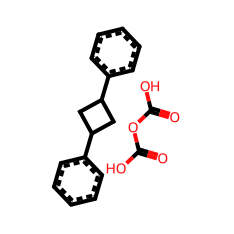 O=C(O)OC(=O)O.c1ccc(C2CC(c3ccccc3)C2)cc1